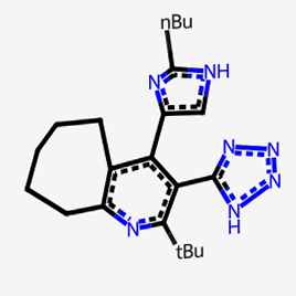 CCCCc1nc(-c2c3c(nc(C(C)(C)C)c2-c2nnn[nH]2)CCCCC3)c[nH]1